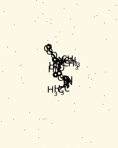 CCCCN(CC)c1nnc2ccc(O[C@@H]3CCC(NC(=O)Nc4cc(C(C)(C)C)nn4-c4cc(OCCOC5CCCCO5)ccc4Cl)c4ccccc43)cn12